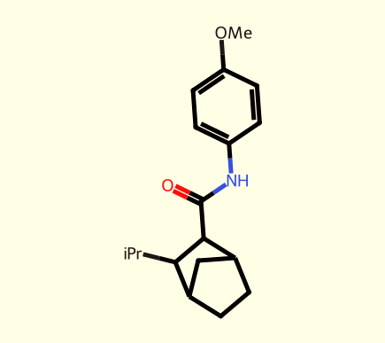 COc1ccc(NC(=O)C2C3CCC(C3)C2C(C)C)cc1